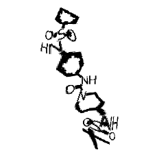 CC(C)(C)S(=O)(=O)NC1CCN(C(=O)Nc2ccc(NS(=O)(=O)c3ccccc3)cc2)CC1